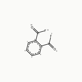 O=C(F)c1ccccc1C(=O)F